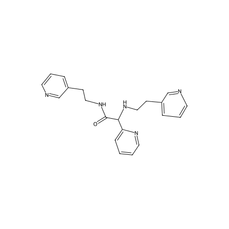 O=C(NCCc1cccnc1)C(NCCc1cccnc1)c1ccccn1